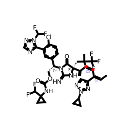 C=C(/C=C\C(=C/C)c1cnn(C2CC2)n1)[C@@]1(CC(C)(C)C(F)(F)F)NC(=N)N([C@H](COC(=O)NC2(C(F)F)CC2)c2ccc(Cl)c(-c3ncnn3C(F)F)c2)C1=O